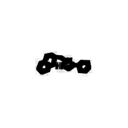 c1ccc(-c2c[nH]c(Cc3ccc4ccccc4c3)n2)cc1